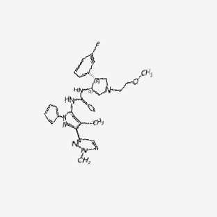 COCCN1C[C@@H](NC(=O)Nc2c(C)c(-c3cnn(C)n3)nn2-c2ccccc2)[C@H](c2cccc(F)c2)C1